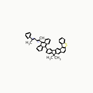 C/C(=C\C=C(/C)c1c2ccccc2c(-c2ccc3c(c2)-c2cc4c(ccc5sc6ccccc6c54)cc2C3(C)C)c2ccccc12)c1ccccc1